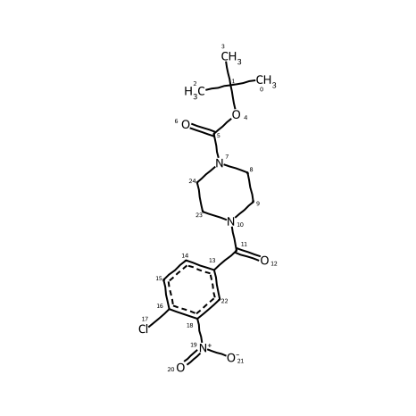 CC(C)(C)OC(=O)N1CCN(C(=O)c2ccc(Cl)c([N+](=O)[O-])c2)CC1